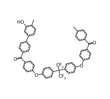 Cc1ccc(C(=O)c2ccc(Oc3ccc(C(c4ccc(Oc5ccc(C(=O)c6ccc(-c7ccc(C)c(O)c7)cc6)cc5)cc4)(C(F)(F)F)C(F)(F)F)cc3)cc2)cc1